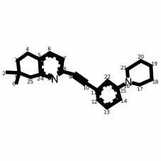 CC1(C)CCc2ccc(C#Cc3cccc(N4CCCCC4)c3)nc2C1